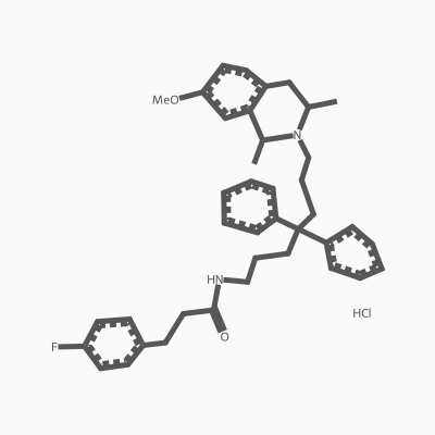 COc1ccc2c(c1)C(C)N(CCCC(CCCNC(=O)CCc1ccc(F)cc1)(c1ccccc1)c1ccccc1)C(C)C2.Cl